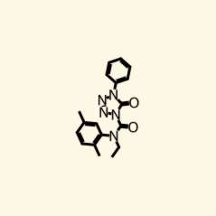 CCN(C(=O)n1nnn(-c2ccccc2)c1=O)c1cc(C)ccc1C